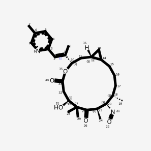 C/C(=C\c1ccc(C)cn1)[C@@H]1C[C@@H]2CC2CCC[C@H](C)[C@H](N=O)[C@@H](C)C(=O)C(C)(C)[C@@H](O)CC(=O)O1